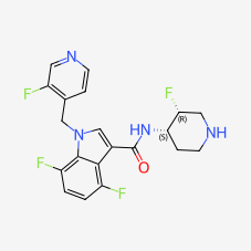 O=C(N[C@H]1CCNC[C@H]1F)c1cn(Cc2ccncc2F)c2c(F)ccc(F)c12